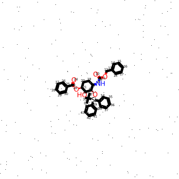 CC(C)(C)[Si](O[C@@H]1C(NC(=O)OCc2ccccc2)CC[C@H](OC(=O)c2ccccc2)[C@H]1O)(c1ccccc1)c1ccccc1